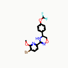 COc1nc(C2=NOCC(c3ccc(OC(F)F)cc3)N2)ccc1Br